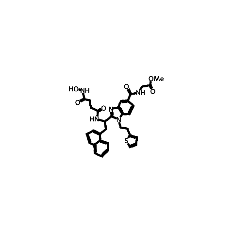 COC(=O)CNC(=O)c1ccc2c(c1)nc(C(Cc1cccc3ccccc13)NC(=O)CCC(=O)NO)n2CCc1cccs1